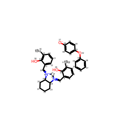 CC(C)(C)c1cccc(C=[N+]2[Cr][N+](=Cc3cccc(C(C)(C)C)c3O)C3CCCCC32)c1O.[O-]c1ccc(Oc2ccccc2)cc1